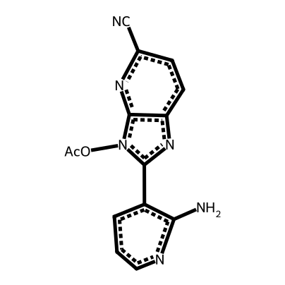 CC(=O)On1c(-c2cccnc2N)nc2ccc(C#N)nc21